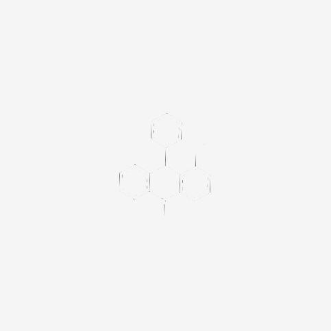 COc1cccc2c1C(c1ccccc1)c1ccccc1N2C